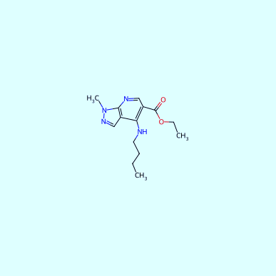 CCCCNc1c(C(=O)OCC)cnc2c1cnn2C